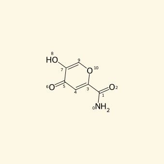 NC(=O)c1cc(=O)c(O)co1